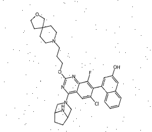 Oc1cc(-c2c(Cl)cc3c(N4CC5CCC(C4)N5)nc(OCCCN4CCC5(CCOC5)CC4)nc3c2F)c2ccccc2c1